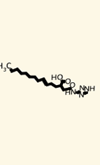 CCCCCCCCC=CCCC(CC(=O)Nc1nc[nH]n1)C(=O)O